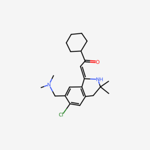 CN(C)Cc1cc2c(cc1Cl)CC(C)(C)N/C2=C\C(=O)C1CCCCC1